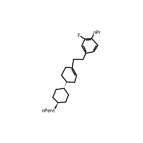 CCCCC[C@H]1CC[C@H](C2CC=C(CCc3ccc(CCC)c(F)c3)CC2)CC1